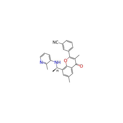 Cc1cc([C@@H](C)Nc2cccnc2C)c2oc(-c3cccc(C#N)c3)c(C)c(=O)c2c1